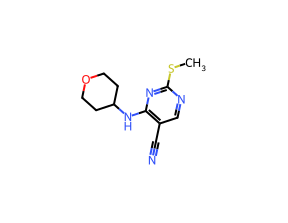 CSc1ncc(C#N)c(NC2CCOCC2)n1